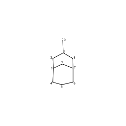 [CH2]C1CC2CCCC(C1)C2